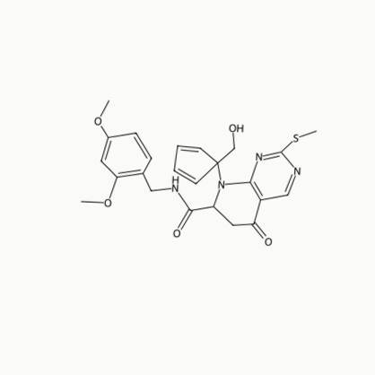 COc1ccc(CNC(=O)C2CC(=O)c3cnc(SC)nc3N2C2(CO)C=CC=C2)c(OC)c1